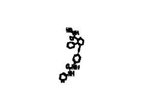 O=C(Nc1ccc(C#Cc2cccc(C(=O)NO)c2-c2ccccc2)cc1)Nc1cccnc1